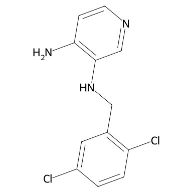 Nc1ccncc1NCc1cc(Cl)ccc1Cl